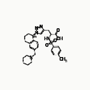 Cc1ccc(S(=O)(=O)NC(Cc2cn([C@@H]3CCCc4cc(CN5CCCCC5)ccc43)nn2)C(=O)O)cc1